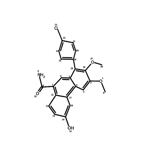 COc1cc2c(cc(C(N)=O)c3ccc(O)cc32)c(-c2ccc(Cl)cc2)c1OC